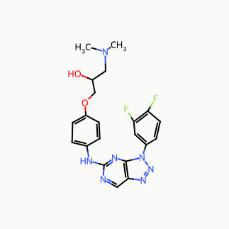 CN(C)CC(O)COc1ccc(Nc2ncc3nnn(-c4ccc(F)c(F)c4)c3n2)cc1